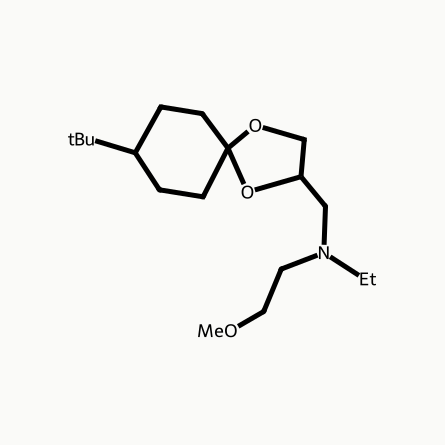 CCN(CCOC)CC1COC2(CCC(C(C)(C)C)CC2)O1